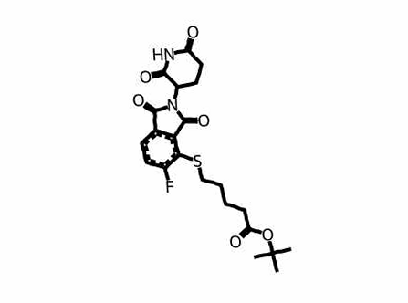 CC(C)(C)OC(=O)CCCCSc1c(F)ccc2c1C(=O)N(C1CCC(=O)NC1=O)C2=O